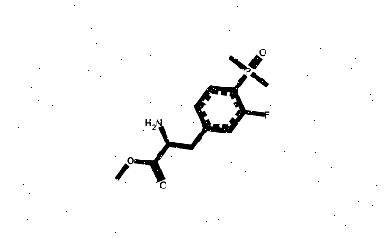 COC(=O)C(N)Cc1ccc(P(C)(C)=O)c(F)c1